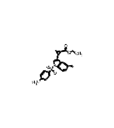 CCOC(=O)C1CC1c1cn(S(=O)(=O)c2ccc(C)cc2)c2ccc(F)cc12